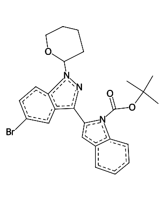 CC(C)(C)OC(=O)n1c(-c2nn(C3CCCCO3)c3ccc(Br)cc23)cc2ccccc21